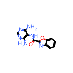 Nc1ncnc(N)c1NC(=O)c1nc2ccccc2o1